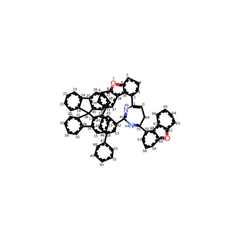 C1=C(c2cccc3oc4ccc(-c5cccc6c5C5(c7ccccc7-c7ccccc75)c5ccccc5-6)cc4c23)N=C(c2cccc(-c3ccccc3)c2)N=C(c2cccc3oc4ccccc4c23)C1